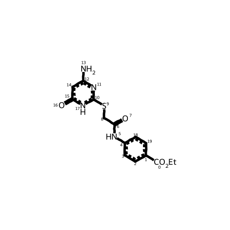 CCOC(=O)c1ccc(NC(=O)CSc2nc(N)cc(=O)[nH]2)cc1